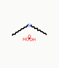 CCCCCCCCCCCC[N+](C)(C)CCCCCCCCCCCC.O=C(O)O